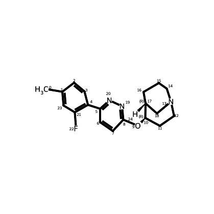 Cc1ccc(-c2ccc(O[C@@H]3CCN4CCC[C@@H]3C4)nn2)c(F)c1